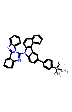 C[Si](C)(C)c1ccc(-c2ccc3c(c2)c2c4ccccc4ccc2n3-c2nc3ccccc3c3nc4ccccc4n23)cc1